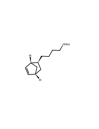 CCCCCCCCCC[C@H]1C[C@@H]2C=C[C@H]1C2